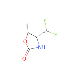 C[C@H]1OC(=O)N[C@H]1C(F)F